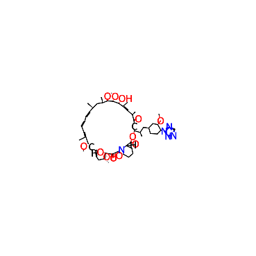 CO[C@H]1C[C@@H]2CC[C@@H](C)[C@@](O)(O2)C(=O)C(=O)N2CCCC[C@H]2C(=O)O[C@H]([C@H](C)C[C@@H]2CC[C@H](n3ncnn3)[C@H](OC)C2)CC(=O)[C@H](C)/C=C(\C)[C@@H](O)[C@@H](OC)C(=O)[C@H](C)C[C@H](C)/C=C/C=C/C=C/1C